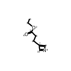 CCOC(=O)CCC1=CN=C1